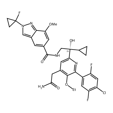 CCOc1c(CC(N)=O)cc([C@@](O)(CNC(=O)c2cc(OC)c3nn(C4(F)CC4)cc3c2)C2CC2)nc1-c1cc(F)c(Cl)cc1F